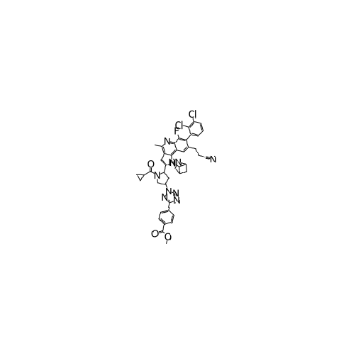 COC(=O)c1ccc(-c2nnn(C3CC(c4cc5c(C)nc6c(F)c(-c7cccc(Cl)c7Cl)c(CCC#N)cc6c5n4C4C5CNC4C5)N(C(=O)C4CC4)C3)n2)cc1